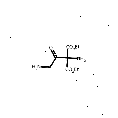 CCOC(=O)C(N)(C(=O)CN)C(=O)OCC